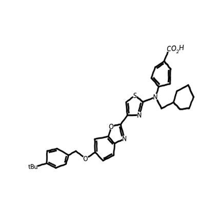 CC(C)(C)c1ccc(COc2ccc3nc(-c4csc(N(CC5CCCCC5)c5ccc(C(=O)O)cc5)n4)oc3c2)cc1